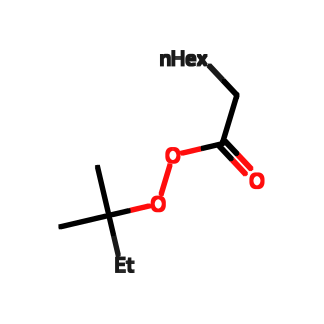 CCCCCCCC(=O)OOC(C)(C)CC